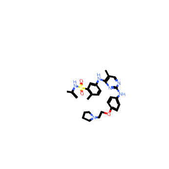 C=C(C)NS(=O)(=O)c1cc(Nc2nc(Nc3ccc(OCCN4CCCC4)cc3)ncc2C)ccc1C